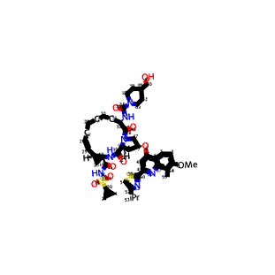 COc1ccc2c(O[C@@H]3C[C@H]4C(=O)N[C@]5(C(=O)NS(=O)(=O)C6CC6)C[C@H]5C=CCCCCC[C@H](NC(=O)N5CCC(CO)CC5)C(=O)N4C3)cc(-c3nc(C(C)C)cs3)nc2c1C